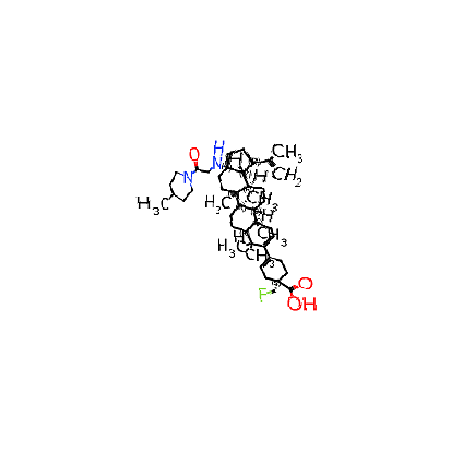 C=C(C)[C@@H]1CC[C@]2(NCC(=O)N3CCC(C)CC3)CC[C@]3(C)[C@H](CC[C@@H]4[C@@]5(C)CC=C(C6=CC[C@](CF)(C(=O)O)CC6)C(C)(C)[C@@H]5CC[C@]43C)[C@@H]12